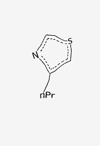 CCCc1cscn1